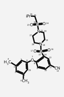 Cc1cc(C)cc(Oc2ccc(C#N)cc2S(=O)(=O)N2CCN(S(=O)(=O)CC(C)C)CC2)c1